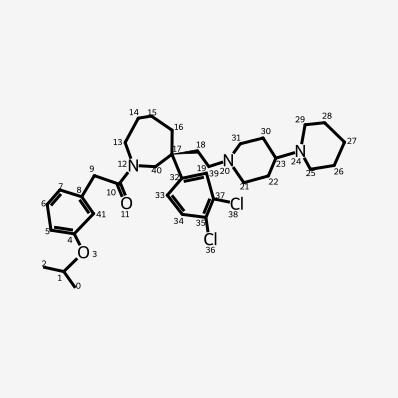 CC(C)Oc1cccc(CC(=O)N2CCCC[C@](CCN3CCC(N4CCCCC4)CC3)(c3ccc(Cl)c(Cl)c3)C2)c1